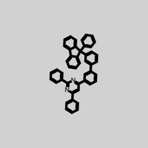 c1ccc(-c2cc(-c3cccc(-c4cccc(C5(c6ccccc6)c6ccccc6-c6ccccc65)c4)c3)nc(-c3ccccc3)n2)cc1